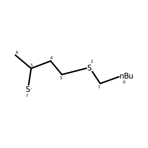 CCCCCSCCC(C)[S]